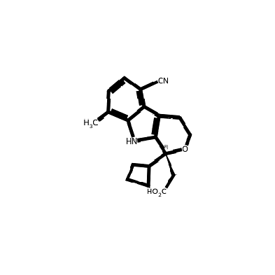 Cc1ccc(C#N)c2c3c([nH]c12)[C@@](CC(=O)O)(C1CCC1)OCC3